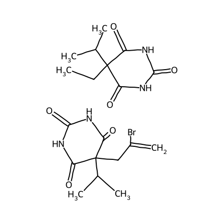 C=C(Br)CC1(C(C)C)C(=O)NC(=O)NC1=O.CCC1(C(C)C)C(=O)NC(=O)NC1=O